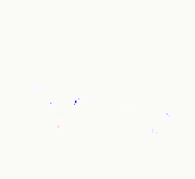 N[C@@H](Cc1ccc(Oc2ccnc3[nH]cc(-c4ccccc4)c23)cc1)C(=O)N1CCN(Cc2ccccc2)CC1